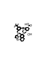 CCN(C[C@H]1CC[C@H](C(=O)O)CC1)c1cc2c(cc1CN(Cc1cc(C#N)cc(C(F)(F)F)c1)c1ccn(C)n1)CCCC2.Cl